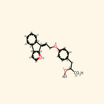 CCOC(Cc1ccc(OCC=C2c3ccccc3-c3ccoc32)cc1)C(=O)O